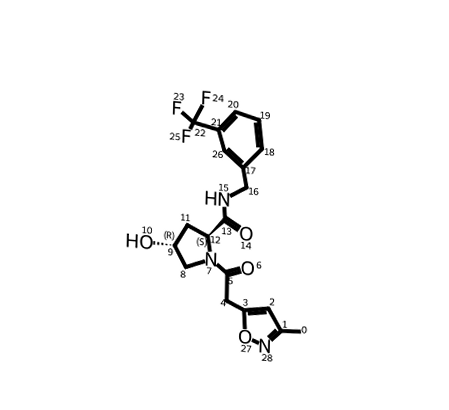 Cc1cc(CC(=O)N2C[C@H](O)C[C@H]2C(=O)NCc2cccc(C(F)(F)F)c2)on1